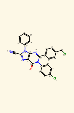 N#Cc1nc2c(=O)n(-c3ccc(Cl)cc3)c(-c3ccc(CF)cc3)nc2n1-c1ccccc1